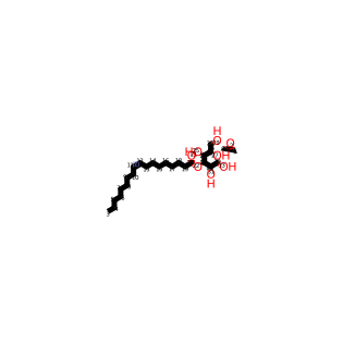 C1CO1.CCCCCCCC/C=C\CCCCCCCC(=O)O[C@@H]([C@H](O)[C@@H](O)CO)[C@H](O)CO